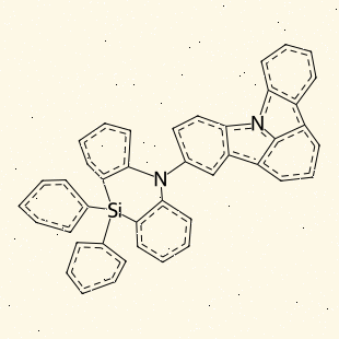 c1ccc([Si]2(c3ccccc3)c3ccccc3N(c3ccc4c(c3)c3cccc5c6ccccc6n4c53)c3ccccc32)cc1